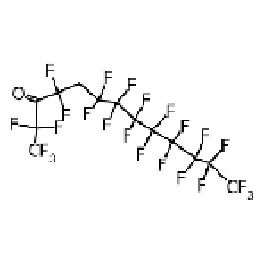 O=C(C(F)(F)CC(F)(F)C(F)(F)C(F)(F)C(F)(F)C(F)(F)C(F)(F)C(F)(F)C(F)(F)F)C(F)(F)C(F)(F)F